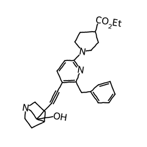 CCOC(=O)C1CCN(c2ccc(C#CC3(O)CN4CCC3CC4)c(Cc3ccccc3)n2)CC1